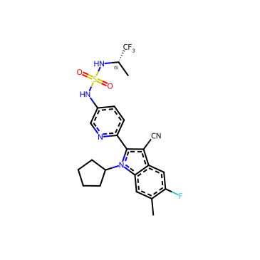 Cc1cc2c(cc1F)c(C#N)c(-c1ccc(NS(=O)(=O)N[C@@H](C)C(F)(F)F)cn1)n2C1CCCC1